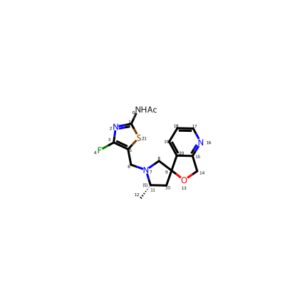 CC(=O)Nc1nc(F)c(CN2CC3(C[C@@H]2C)OCc2ncccc23)s1